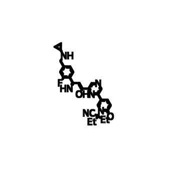 CCC(C#N)(CC)n1cc(-c2cncc(/C(O)=C/C(=N)c3ccc(CNC4CC4)cc3F)n2)ccc1=O